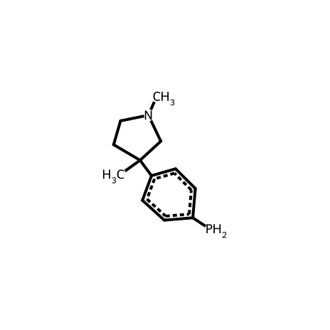 CN1CCC(C)(c2ccc(P)cc2)C1